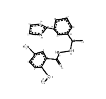 CCOc1ccc(N)cc1C(=O)NNC(C)c1cccc(-c2nccs2)c1